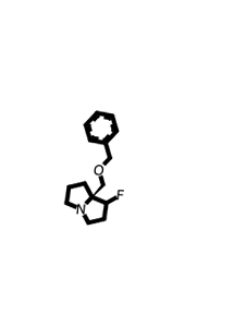 FC1CCN2CCC[C@]12COCc1ccccc1